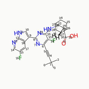 CC(C)(C)C#Cc1nc(-c2c[nH]c3ncc(F)cc23)nc(N[C@H]2C3CCC(CC3)[C@@H]2C(=O)O)c1F